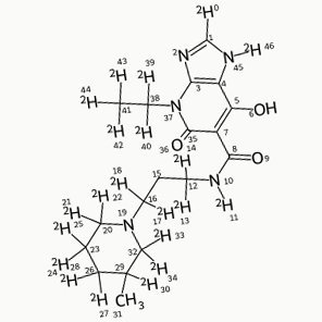 [2H]c1nc2c(c(O)c(C(=O)N([2H])C([2H])([2H])CC([2H])([2H])N3C([2H])([2H])C([2H])([2H])C([2H])([2H])C([2H])(C)C3([2H])[2H])c(=O)n2C([2H])([2H])C([2H])([2H])[2H])n1[2H]